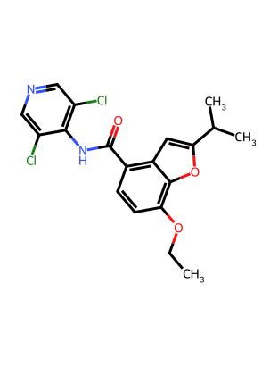 CCOc1ccc(C(=O)Nc2c(Cl)cncc2Cl)c2cc(C(C)C)oc12